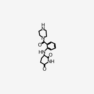 O=C1CCC(Nc2ccccc2C(=O)N2CCNCC2)C(=O)N1